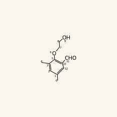 Cc1cc(C)c(OCCO)c(C=O)c1